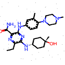 CCc1nc(C(N)=O)c(Nc2ccc(N3CCN(C)CC3)c(C)c2)nc1N[C@H]1CC[C@@](C)(O)CC1